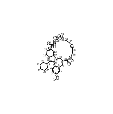 COc1ccc2c(c1)CC1CN3C4=CC(=CCC4C(C4CCCCC4)=C23)C(=O)NS(=O)(=O)N(C)CCOCCN(C)C1=O